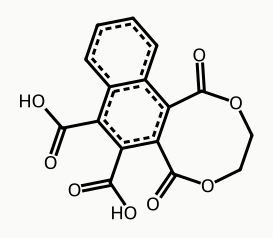 O=C(O)c1c2c(c3ccccc3c1C(=O)O)C(=O)OCCOC2=O